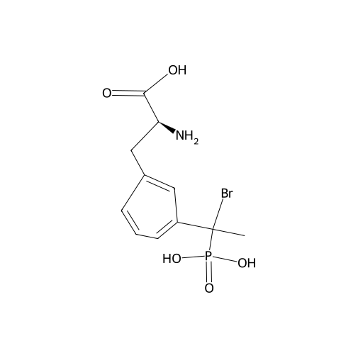 CC(Br)(c1cccc(C[C@H](N)C(=O)O)c1)P(=O)(O)O